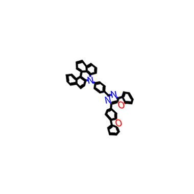 c1ccc2c3c(ccc2c1)N(c1ccc(-c2nc(-c4ccc5c(c4)oc4ccccc45)c4oc5ccccc5c4n2)cc1)c1cccc2cccc-3c12